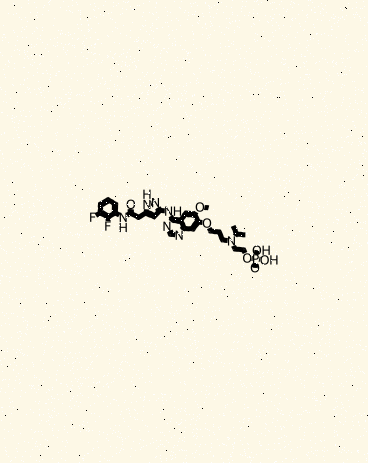 COc1cc2c(Nc3cc(CC(=O)Nc4cccc(F)c4F)[nH]n3)ncnc2cc1OCCCN(CCOP(=O)(O)O)C(C)C